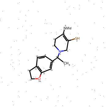 CNC1=C(S)CN(C(C)c2ccc3c(c2)OCC3)CC1